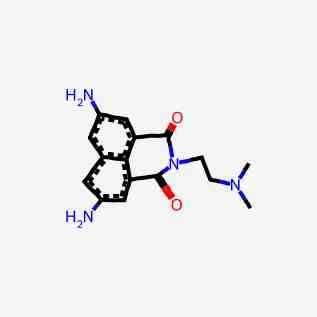 CN(C)CCN1C(=O)c2cc(N)cc3cc(N)cc(c23)C1=O